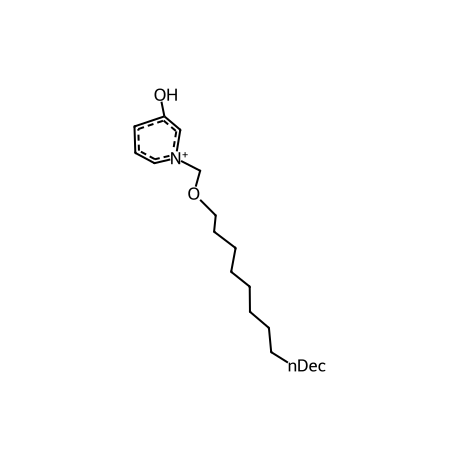 CCCCCCCCCCCCCCCCCCOC[n+]1cccc(O)c1